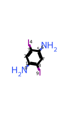 Nc1cc(I)c(N)cc1I